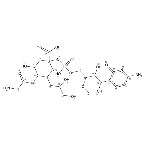 COC(COP(=O)(O)OC1(C(=O)O)CC(O)C(NC(=O)CN)C(CC(O)CO)O1)C(O)C(O)n1ccc(N)nc1=O